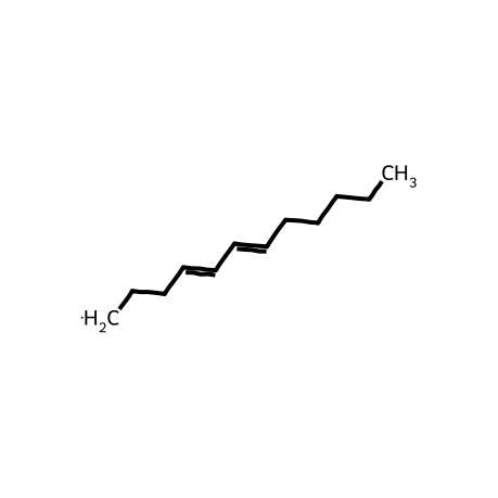 [CH2]CCC=CC=CCCCCC